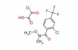 CON(C)C(=O)c1ccc(C(F)(F)F)cc1Cl.O=C(O)C(=O)Cl